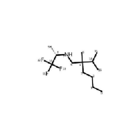 CCCCC(C)(CN[C@@H](C)C(F)(F)F)C(C)C